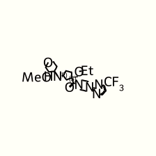 CCOC[C@]1(C(=O)N2CCN(c3nccc(C(F)(F)F)n3)CC2)CC[C@@H](NC2CCOCC2OC)C1